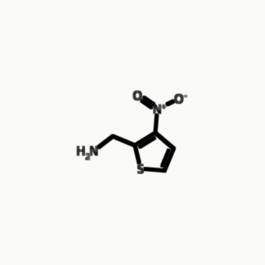 NCc1sccc1[N+](=O)[O-]